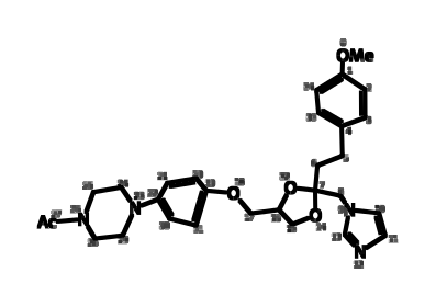 COc1ccc(CCC2(Cn3ccnc3)OCC(COc3ccc(N4CCN(C(C)=O)CC4)cc3)O2)cc1